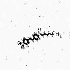 CCCCCCNc1ccc(C=Cc2ccc([N+](=O)[O-])cc2)cc1